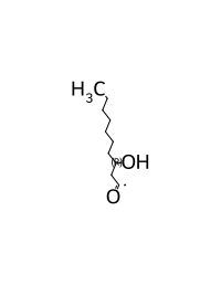 CCCCCCC[C@@H](O)C[C]=O